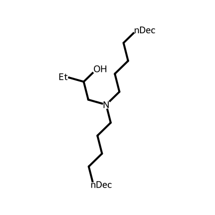 CCCCCCCCCCCCCCN(CCCCCCCCCCCCCC)CC(O)CC